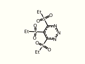 CCS(=O)(=O)c1nnnc(S(=O)(=O)CC)c1S(=O)(=O)CC